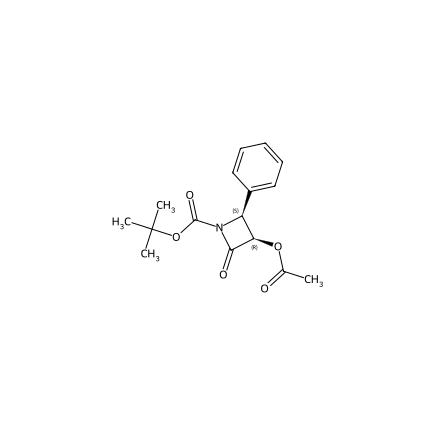 CC(=O)O[C@H]1C(=O)N(C(=O)OC(C)(C)C)[C@H]1c1ccccc1